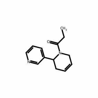 CCC(=O)N1CC=CCC1c1cccnc1